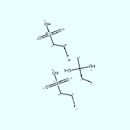 CCC(C)(O)O.O=S(=O)(O)CCF.O=S(=O)(O)CCF